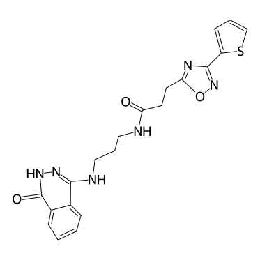 O=C(CCc1nc(-c2cccs2)no1)NCCCNc1n[nH]c(=O)c2ccccc12